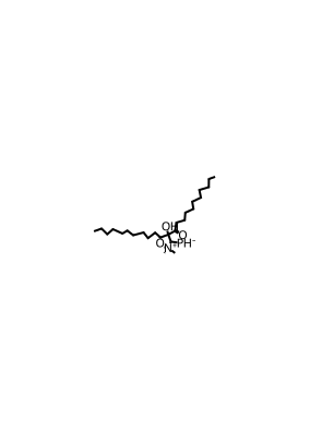 CCCCCCCCCCC(=O)C(O)(C(=O)CCCCCCCCCC)C([PH-])[N+](C)(C)C